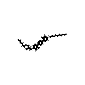 CCCCCCCCCCOc1ccc(-c2ccc(-c3ccc(OC(F)(F)C4COC(CCCCC)OC4)c(F)c3F)cc2)c(F)c1F